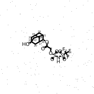 O=C(COS(=O)(=O)NS(=O)(=O)C(F)(F)F)OC1C2CC3CC1CC(O)(C3)C2